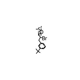 C[SiH](C)OCC(Br)Cc1cccc(C(C)(C)C)c1